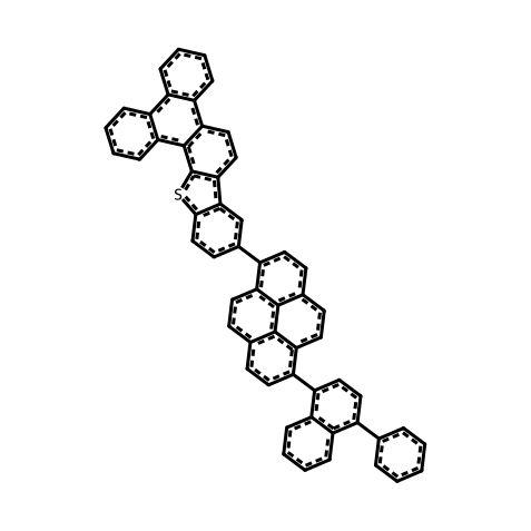 c1ccc(-c2ccc(-c3ccc4ccc5c(-c6ccc7sc8c(ccc9c%10ccccc%10c%10ccccc%10c98)c7c6)ccc6ccc3c4c65)c3ccccc23)cc1